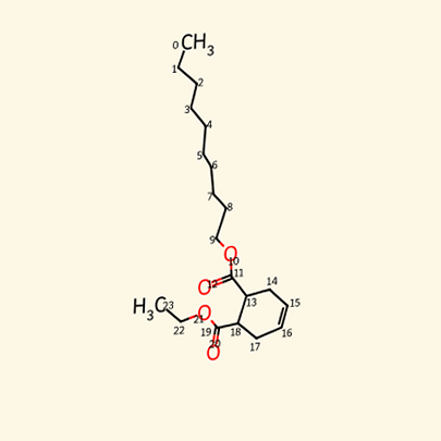 CCCCCCCCCCOC(=O)C1CC=CCC1C(=O)OCC